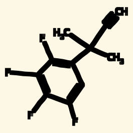 C#CC(C)(C)c1cc(F)c(F)c(F)c1F